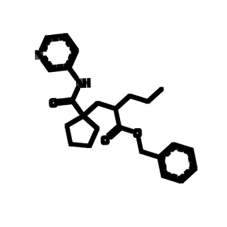 CCCC(CC1(C(=O)Nc2cccnc2)CCCC1)C(=O)OCc1ccccc1